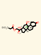 CCOC(=O)CC(=O)OCC(=O)[C@@]1(O)[C@@H](C)C[C@H]2[C@@H]3CCC4=CC(=O)C=C[C@]4(C)C3(F)C(O)C[C@@]21C